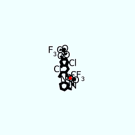 O=C1C(Cc2c(Cl)cc(OS(=O)(=O)C(F)(F)F)cc2Cl)CCN1C1CCCc2cnn(S(=O)(=O)C(F)(F)F)c21